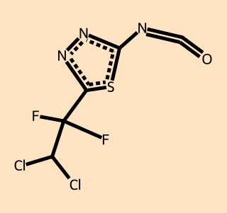 O=C=Nc1nnc(C(F)(F)C(Cl)Cl)s1